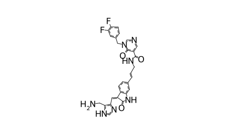 NCc1[nH]cnc1/C=C1\C(=O)Nc2cc(/C=C/CNC(=O)c3cncn(Cc4ccc(F)c(F)c4)c3=O)ccc21